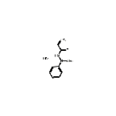 Br.C=CC(=O)NN(CCCC)c1ccccc1